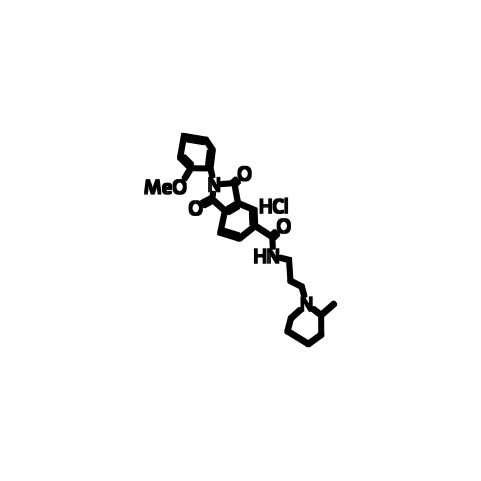 COc1ccccc1N1C(=O)c2ccc(C(=O)NCCCN3CCCCC3C)cc2C1=O.Cl